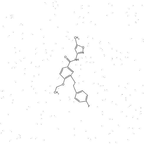 CCOc1ccc(C(=O)Nc2cc(C)on2)cc1CCc1ccc(F)cc1